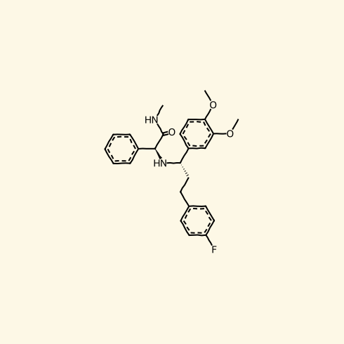 CNC(=O)[C@@H](N[C@@H](CCc1ccc(F)cc1)c1ccc(OC)c(OC)c1)c1ccccc1